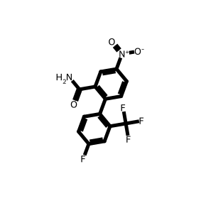 NC(=O)c1cc([N+](=O)[O-])ccc1-c1ccc(F)cc1C(F)(F)F